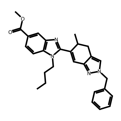 CCCCn1c(C2=Cc3nn(Cc4ccccc4)cc3CC2C)nc2cc(C(=O)OC)ccc21